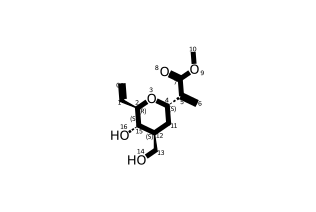 C=C[C@H]1O[C@H](C(=C)C(=O)OC)C[C@@H](CO)[C@@H]1O